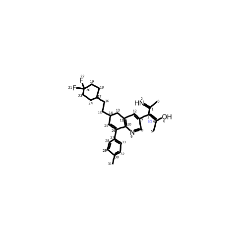 CC(=N)/C(=C(/C)O)c1cnc2c(c1)CC(CCC1CCC(F)(F)CC1)C=C2c1ccc(C)cc1